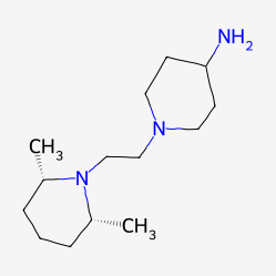 C[C@@H]1CCC[C@H](C)N1CCN1CCC(N)CC1